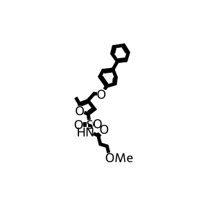 COCCC(=O)NS(=O)(=O)c1cc(COc2ccc(-c3ccccc3)cc2)c(C)o1